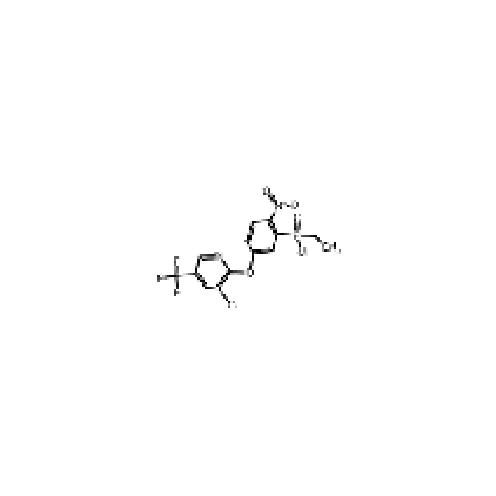 CCP(=O)(Cl)c1cc(Oc2ncc(C(F)(F)F)cc2Cl)ccc1[N+](=O)[O-]